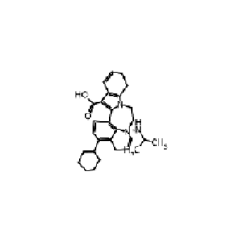 CC(C)N[N@+]12C=CCc3c(C4CCCCC4)ccc(c31)-c1c(C(=O)O)c3c(n1CC2)CCC=C3